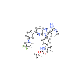 CC(C)(C)OC(=O)NC1(c2ccc(-n3c(-c4cccnc4N)nc4ccc(-c5cccc(N6CCC(F)(F)C6)c5)nc43)cc2)CCC1